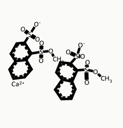 COS(=O)(=O)c1c(S(=O)(=O)[O-])ccc2ccccc12.COS(=O)(=O)c1c(S(=O)(=O)[O-])ccc2ccccc12.[Ca+2]